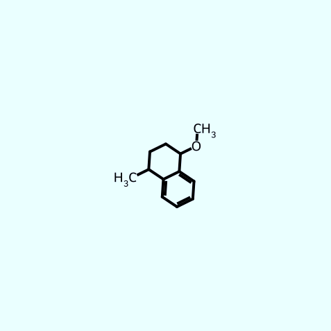 COC1CCC(C)c2ccccc21